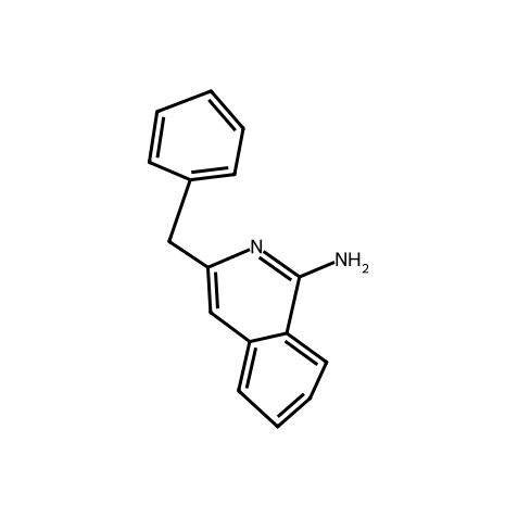 Nc1nc(Cc2ccccc2)cc2ccccc12